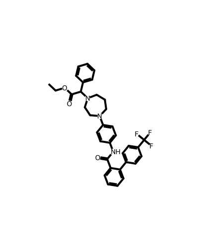 CCOC(=O)C(c1ccccc1)N1CCCN(c2ccc(NC(=O)c3ccccc3-c3ccc(C(F)(F)F)cc3)cc2)CC1